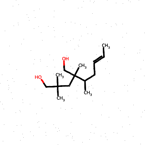 CC=CCC(C)C(C)(CO)CC(C)(C)CO